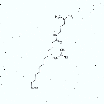 CCCCCCCCCCCCCCCCCCCCCC(=O)NCCCN(C)C.CCN(C)C